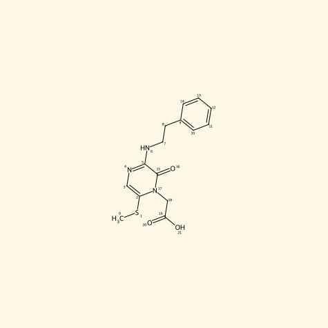 CSc1cnc(NCCc2ccccc2)c(=O)n1CC(=O)O